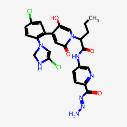 CCCC(C(=O)Nc1ccc(C(=O)N=NN)nc1)n1cc(O)c(-c2cc(Cl)ccc2N2C=C(Cl)NC2)cc1=O